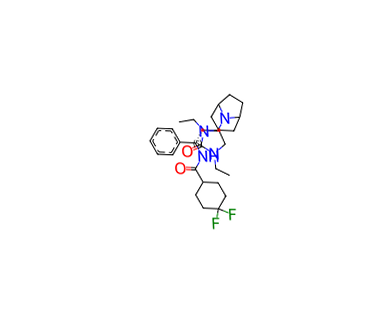 CCN1CC2(CC3CCC(C2)N3CC[C@H](NC(=O)C2CCC(F)(F)CC2)c2ccccc2)N(CC)C1=O